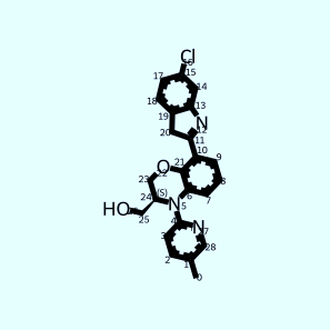 Cc1ccc(N2c3cccc(C4=Nc5cc(Cl)ccc5C4)c3OC[C@@H]2CO)nc1